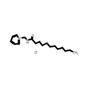 CCCCCCCCCCCC(=O)NC[n+]1ccccc1.[Cl-]